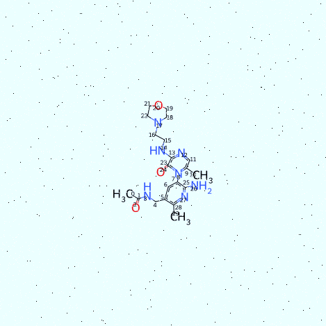 CC(=O)NCc1cc(-n2c(C)cnc(NCCN3CCOCC3)c2=O)c(N)nc1C